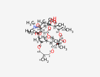 C=C1CO[C@H]2[C@H](C)[C@@H](O[C@@H]3O[C@H](C)C[C@H](N(C)C)[C@H]3O)[C@](C)(C[C@@H](C)C(=O)[C@H](C)[C@@H](O)[C@](C)(O)[C@@H](CC)OC(=O)[C@@H]2C)OC1